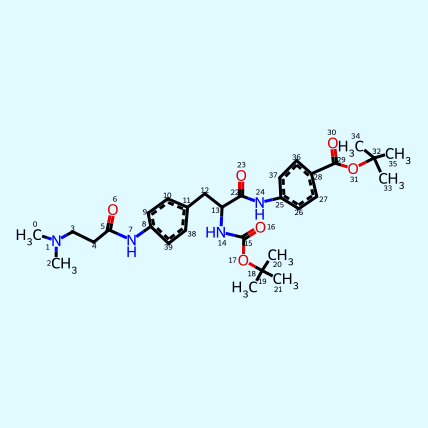 CN(C)CCC(=O)Nc1ccc(CC(NC(=O)OC(C)(C)C)C(=O)Nc2ccc(C(=O)OC(C)(C)C)cc2)cc1